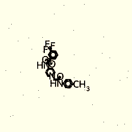 Cc1ccc(NC(=O)CN2CCC(NS(=O)(=O)c3cccc(C(F)(F)F)c3)CC2)cc1